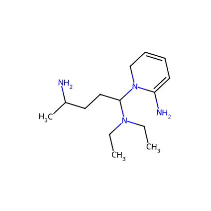 CCN(CC)C(CCC(C)N)N1CC=CC=C1N